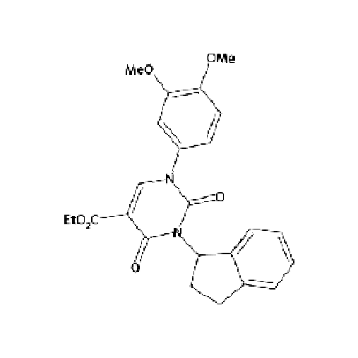 CCOC(=O)c1cn(-c2ccc(OC)c(OC)c2)c(=O)n(C2CCc3ccccc32)c1=O